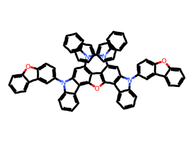 c1ccc(N(c2ccccc2)c2cc3c(c4ccccc4n3-c3ccc4oc5ccccc5c4c3)c3oc4c(c(N(c5ccccc5)c5ccccc5)cc5c4c4ccccc4n5-c4ccc5oc6ccccc6c5c4)c23)cc1